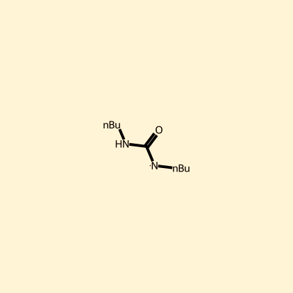 CCCC[N]C(=O)NCCCC